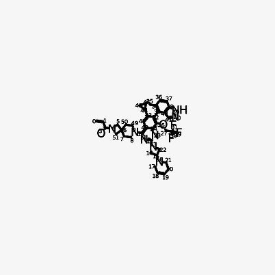 C=CC(=O)N1CC2(CCN(c3nc(N4CC(N5CC=CCC5)C4)nc4c(OCC(F)(F)F)c(-c5c(C)ccc6[nH]ncc56)c(C5CC5)cc34)CC2)C1